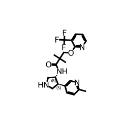 Cc1ccc([C@H]2CNC[C@@H]2NC(=O)C(C)(C)COc2ncccc2C(F)(F)F)cn1